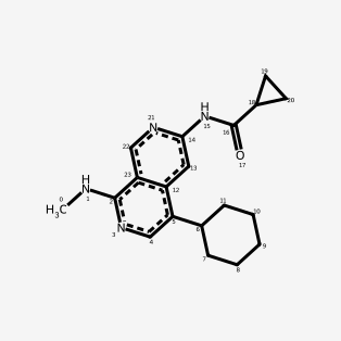 CNc1ncc(C2CCCCC2)c2cc(NC(=O)C3CC3)ncc12